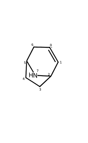 [C]1=CC2CCC(C1)N2